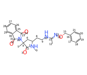 CNC(=O)C(C)(CCCCN/C(C)=N/OCc1ccccc1)N1C(=O)c2ccccc2C1=O